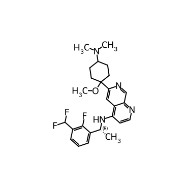 COC1(c2cc3c(N[C@H](C)c4cccc(C(F)F)c4F)ccnc3cn2)CCC(N(C)C)CC1